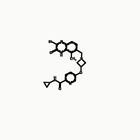 CCc1nc2ccc(CN3CC(Oc4ccc(C(=O)NC5CC5)nc4)C3)c(C)c2[nH]c1=O